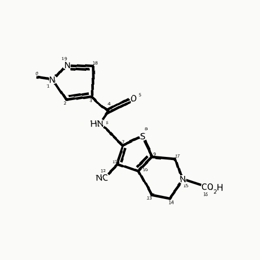 Cn1cc(C(=O)Nc2sc3c(c2C#N)CCN(C(=O)O)C3)cn1